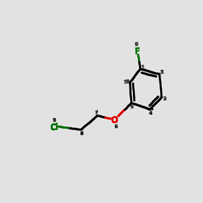 Fc1cc[c]c(OCCCl)c1